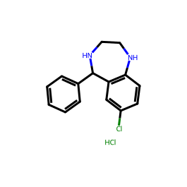 Cl.Clc1ccc2c(c1)C(c1ccccc1)NCCN2